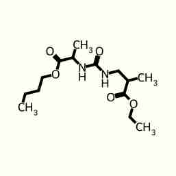 CCCCOC(=O)C(C)NC(=O)NCC(C)C(=O)OCC